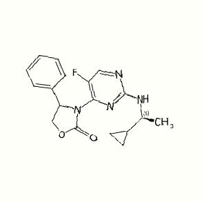 C[C@H](Nc1ncc(F)c(N2C(=O)OCC2c2ccccc2)n1)C1CC1